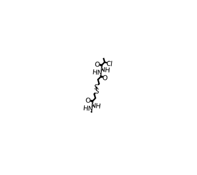 CNNC(=O)CCSSCCC(=O)NNC(=O)C(C)Cl